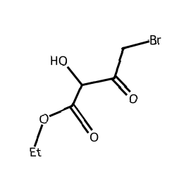 CCOC(=O)C(O)C(=O)CBr